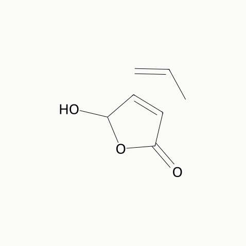 C=CC.O=C1C=CC(O)O1